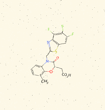 Cc1cccc2c1OC(CC(=O)O)C(=O)N2Cc1nc2c(F)c(F)c(F)cc2s1